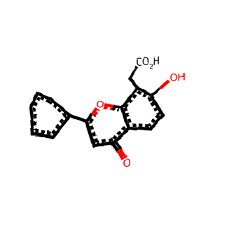 O=C(O)Cc1c(O)ccc2c(=O)cc(-c3ccccc3)oc12